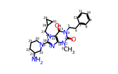 Cn1c(=O)n(CCc2ccccc2)c(=O)c2c1nc(N1CCCC(N)C1)n2CC1CC1